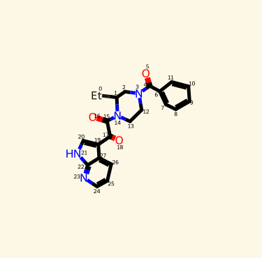 CCC1CN(C(=O)c2ccccc2)CCN1C(=O)C(=O)c1c[nH]c2ncccc12